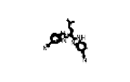 CC(C)CCC(c1nc2cc(C#N)ccc2[nH]1)n1nc2ccc(C#N)cc2n1